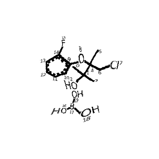 CC(C)(O)C(C)(CCl)Oc1ccccc1F.OB(O)O